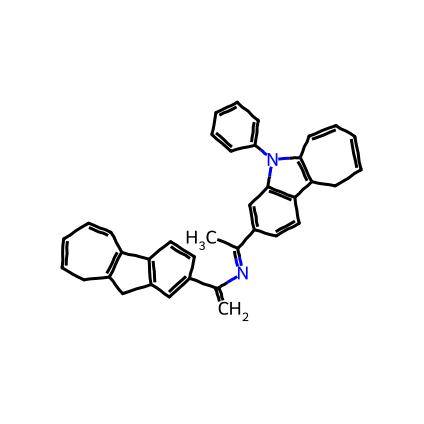 C=C(/N=C(\C)c1ccc2c3c(n(-c4ccccc4)c2c1)C=CC=CC3)c1ccc2c(c1)CC1=C2C=CC=CC1